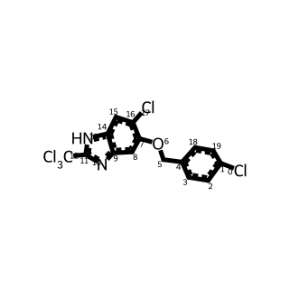 Clc1ccc(COc2cc3nc(C(Cl)(Cl)Cl)[nH]c3cc2Cl)cc1